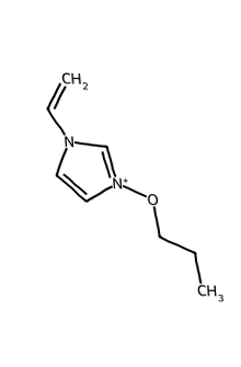 C=Cn1cc[n+](OCCC)c1